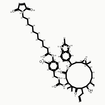 C=CCC1C(=O)C(C)(C)C(OC(=O)OCc2ccc(OC(=O)CCCCCCCCCCN3C(=O)C=CC3=O)c([N+](=O)[O-])c2)CC(=O)OC(c2ccc3sc(C)nc3c2)CC2OC2(C)CCCC(C)C1O